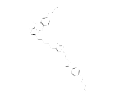 CCCCCc1ccc(C(=O)NCCn2cc(CCCCCc3cnc(N)n3Cc3ccc(CCCC)cc3)nn2)cc1